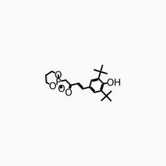 CC(C)(C)c1cc(C=CC(=O)CP2(=O)OCCCO2)cc(C(C)(C)C)c1O